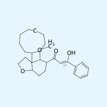 COC1C(C(=O)/C=C(\O)c2ccccc2)CCC2OCCC21C1CCCCCCCC1